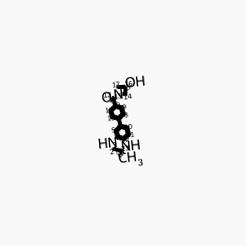 C[C@H]1CNc2cc(-c3ccc(C(=O)N4CC(O)C4)cc3)ccc2N1